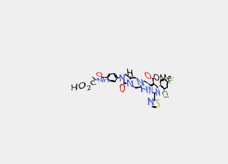 COC(=O)C1=C(CN2CCN3C(=O)N(c4ccc(C(=O)NC(C)C(=O)O)cc4)C[C@@H]3C2)NC(c2nccs2)=N[C@H]1c1ccc(F)cc1Cl